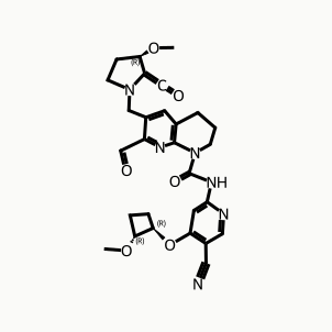 CO[C@@H]1CCN(Cc2cc3c(nc2C=O)N(C(=O)Nc2cc(O[C@@H]4CC[C@H]4OC)c(C#N)cn2)CCC3)C1=C=O